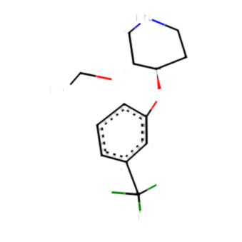 CCO[C@@H]1CNCC[C@H]1Oc1cccc(C(F)(F)F)c1